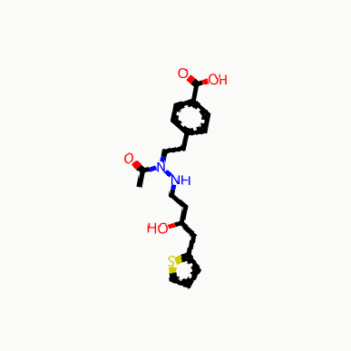 CC(=O)N(CCc1ccc(C(=O)O)cc1)NCCC(O)Cc1cccs1